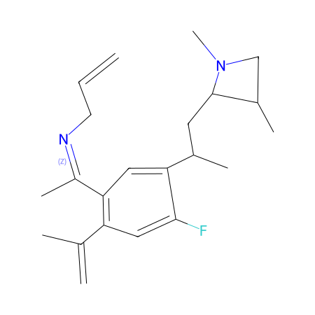 C=CC/N=C(/C)c1cc(C(C)CC2C(C)CN2C)c(F)cc1C(=C)C